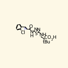 CC(C)(C)C(CNc1nnc(NC(=O)/C=C/c2ccccc2Cl)s1)C(=O)O